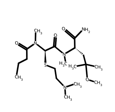 CCCC(=O)N(C)[C@H](SCCN(C)C)C(=O)N(C)[C@@H](CC(C)(C)OC)C(N)=O